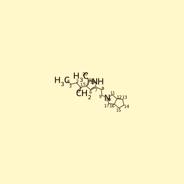 C=C(CCC)c1cc(CCN2CC3CCCC3C2)[nH]c1C